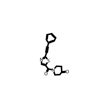 O=C1CCN(C(=O)c2cnc(C#Cc3ccccc3)s2)CC1